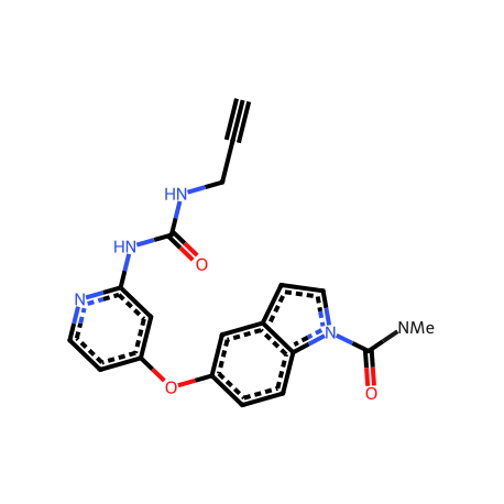 C#CCNC(=O)Nc1cc(Oc2ccc3c(ccn3C(=O)NC)c2)ccn1